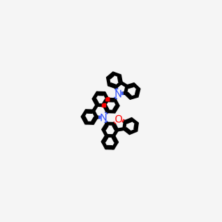 c1ccc(-c2ccccc2N(c2ccc(-n3c4ccccc4c4ccccc43)cc2)c2cc3ccccc3c3c2oc2ccccc23)cc1